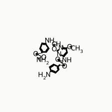 COc1cc(NS(=O)(=O)c2ccc(N)cc2)nc(OC)n1.Nc1ccc(S(N)(=O)=O)cc1